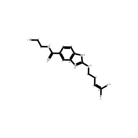 O=C(OCCF)c1ccc2oc(SCCC=C(F)F)nc2c1